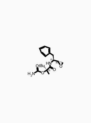 CC(C)(C)[C@](C)(OC(N)=O)C(=O)N[C@@H](Cc1ccccc1)[C@@H]1CO1